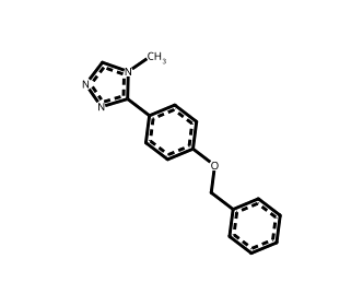 Cn1cnnc1-c1ccc(OCc2ccccc2)cc1